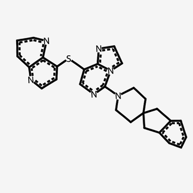 c1ccc2c(c1)CC1(CCN(c3ncc(Sc4ccnc5cccnc45)c4nccn34)CC1)C2